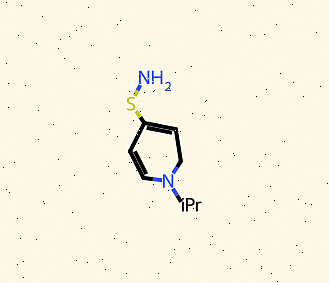 CC(C)N1C=CC(SN)=CC1